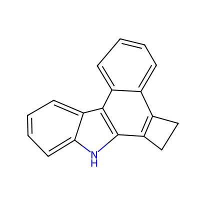 c1ccc2c(c1)[nH]c1c3c(c4ccccc4c12)CC3